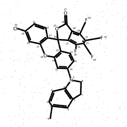 Cc1ccc2c(c1)CCN2c1ccc2c(c1)Oc1cc(Cl)ccc1C21OC(=O)c2c(F)c(F)c(F)c(F)c21